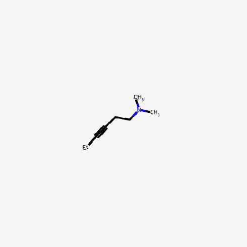 CCC#CCCN(C)C